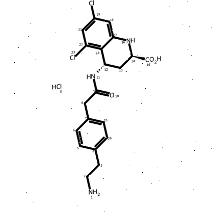 Cl.NCCc1ccc(CC(=O)N[C@H]2C[C@H](C(=O)O)Nc3cc(Cl)cc(Cl)c32)cc1